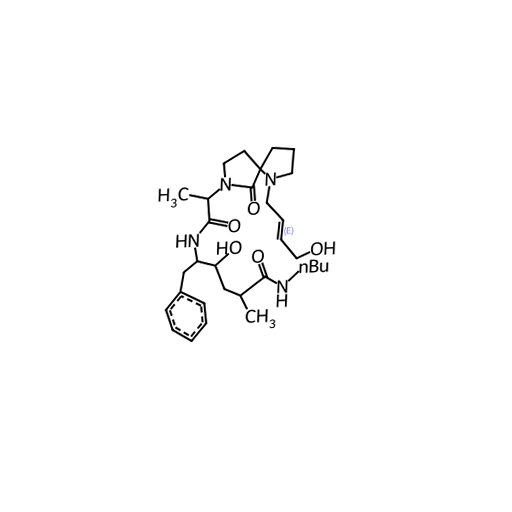 CCCCNC(=O)C(C)CC(O)C(Cc1ccccc1)NC(=O)C(C)N1CCC2(CCCN2C/C=C/CO)C1=O